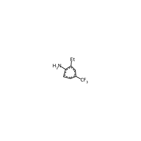 CCc1cc(C(F)(F)F)ccc1N